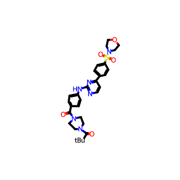 CC(C)(C)C(=O)N1CCN(C(=O)c2ccc(Nc3nccc(-c4ccc(S(=O)(=O)N5CCOCC5)cc4)n3)cc2)CC1